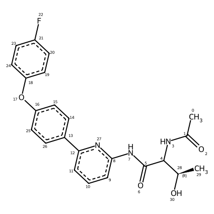 CC(=O)NC(C(=O)Nc1cccc(-c2ccc(Oc3ccc(F)cc3)cc2)n1)[C@@H](C)O